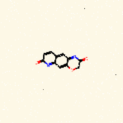 O=C1C=Cc2cc3c(cc2=N1)OCC(=O)N=3